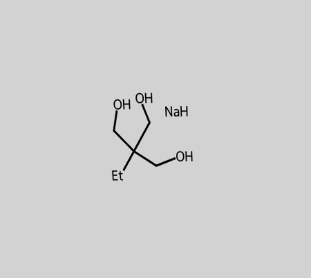 CCC(CO)(CO)CO.[NaH]